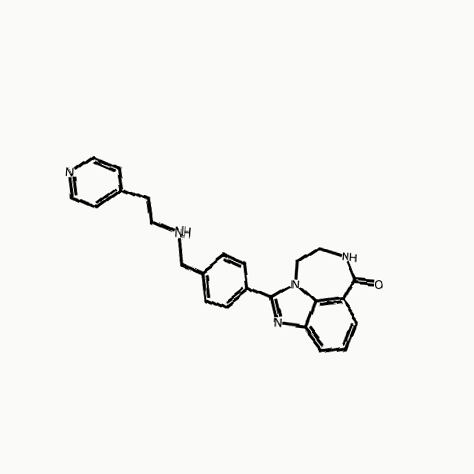 O=C1NCCn2c(-c3ccc(CNCCc4ccncc4)cc3)nc3cccc1c32